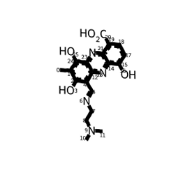 Cc1c(O)c(/C=N/CCN(C)C)c2nc3c(O)ccc(C(=O)O)c3nc2c1O